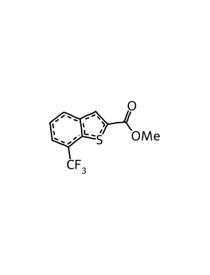 COC(=O)c1cc2cccc(C(F)(F)F)c2s1